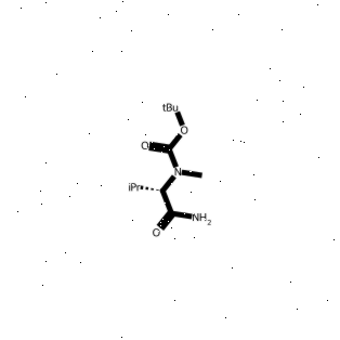 CC(C)[C@@H](C(N)=O)N(C)C(=O)OC(C)(C)C